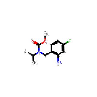 CC(=O)C(C)N(Cc1ccc(Cl)cc1N)C(=O)OC(C)(C)C